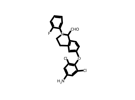 Nc1cc(Cl)c(Oc2ccc3c(c2)CCN(c2ccccc2F)C3C=O)c(Cl)c1